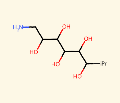 CC(C)C(O)C(O)C(O)C(O)C(O)CN